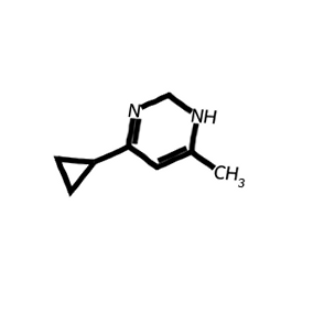 CC1=CC(C2CC2)=NCN1